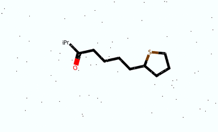 CC(C)C(=O)CCCCC1CCCS1